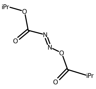 CC(C)OC(=O)N=NOC(=O)C(C)C